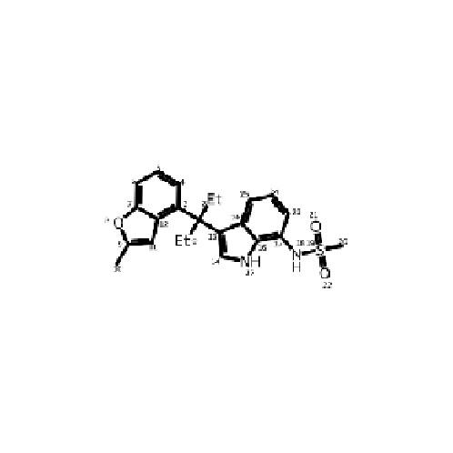 CCC(CC)(c1cccc2oc(C)cc12)c1c[nH]c2c(NS(C)(=O)=O)cccc12